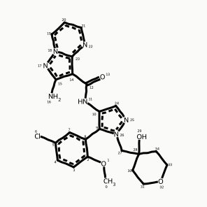 COc1ccc(Cl)cc1-c1c(NC(=O)c2c(N)nn3cccnc23)cnn1CC1(O)CCOCC1